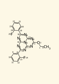 CCOC1=NC2=NC(c3ccccc3F)=NC3=NC(c4ccccc4F)=NC(=N1)N23